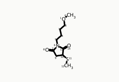 COCCCCN1C(=O)CC(SC)C1=O